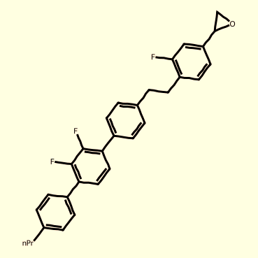 CCCc1ccc(-c2ccc(-c3ccc(CCc4ccc(C5CO5)cc4F)cc3)c(F)c2F)cc1